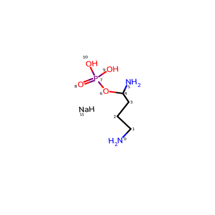 NCCCC(N)OP(=O)(O)O.[NaH]